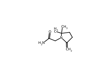 C=C1CCC(C)(C)N1CC(N)=O